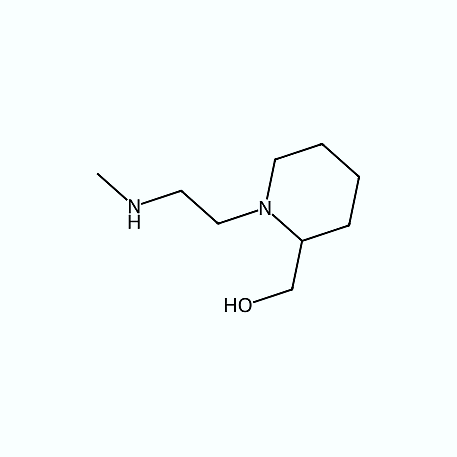 CNCCN1CCCCC1CO